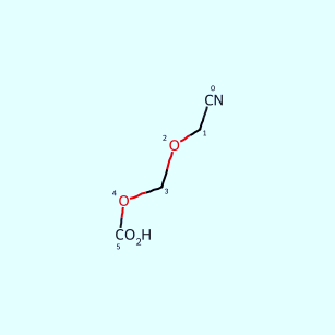 N#CCOCOC(=O)O